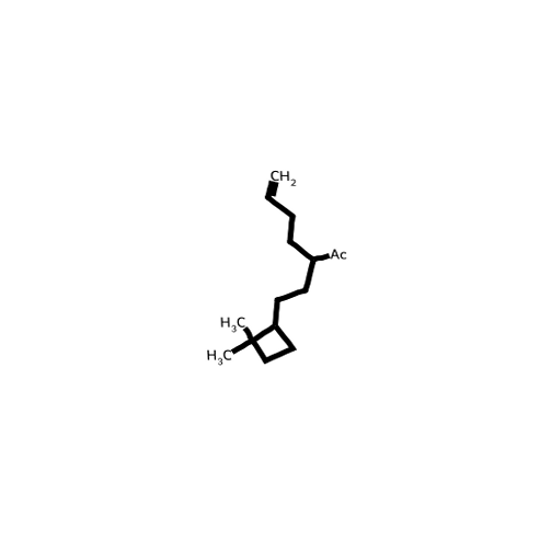 C=CCCC(CCC1CCC1(C)C)C(C)=O